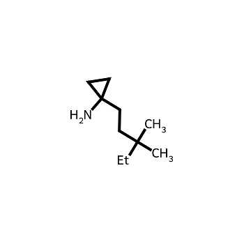 CCC(C)(C)CCC1(N)CC1